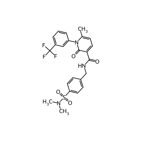 Cc1ccc(C(=O)NCc2ccc(S(=O)(=O)N(C)C)cc2)c(=O)n1-c1cccc(C(F)(F)F)c1